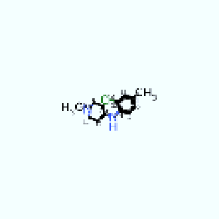 Cc1ccc(NC2CCN(C)CC2)c(Cl)c1